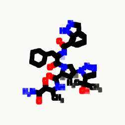 CC(NC(=O)[C@@H]1C[C@H](n2nncc2C(C)(C)O)CN1C(=O)/C(CC1CCCCC1)=N/C(=O)c1cccc2cn[nH]c12)C(=O)C(N)=O